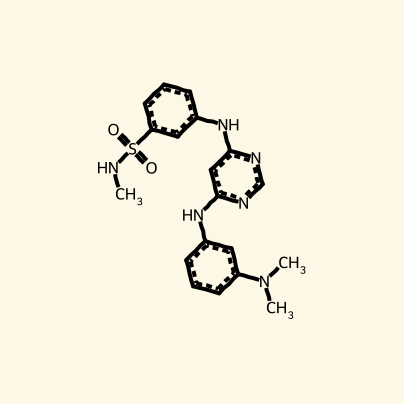 CNS(=O)(=O)c1cccc(Nc2cc(Nc3cccc(N(C)C)c3)ncn2)c1